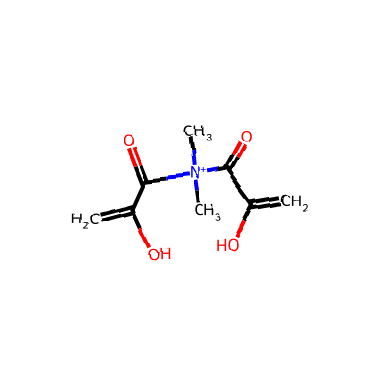 C=C(O)C(=O)[N+](C)(C)C(=O)C(=C)O